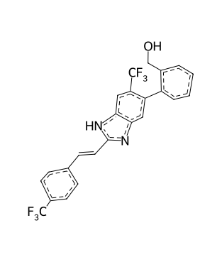 OCc1ccccc1-c1cc2nc(C=Cc3ccc(C(F)(F)F)cc3)[nH]c2cc1C(F)(F)F